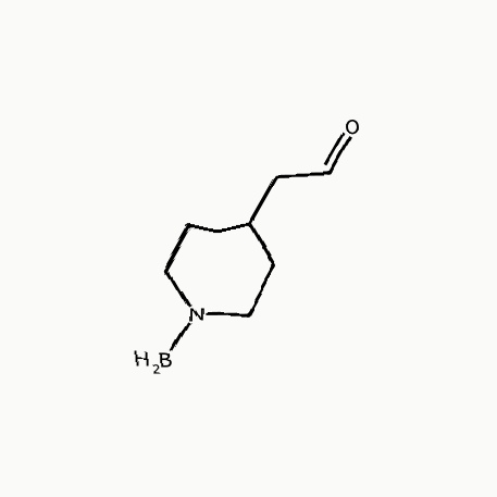 BN1CCC(CC=O)CC1